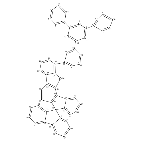 c1ccc(-c2nc(-c3ccccc3)nc(-c3cccc(-c4cccc5c4oc4c6c(ccc45)C4(c5ccccc5-c5ccccc54)c4ccccc4-6)c3)n2)cc1